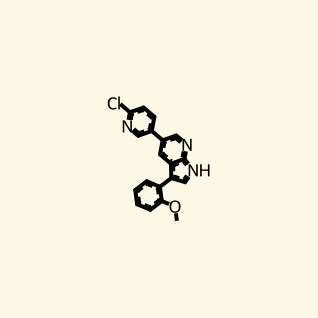 COc1ccccc1-c1c[nH]c2ncc(-c3ccc(Cl)nc3)cc12